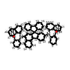 N#Cc1ccccc1N(c1ccc2c(c1)C1(c3ccccc3-c3ccccc31)c1cc(N(c3ccccc3C#N)c3cccc4ccccc34)c3ccccc3c1-2)c1cccc2ccccc12